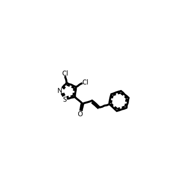 O=C(/C=C/c1ccccc1)c1snc(Cl)c1Cl